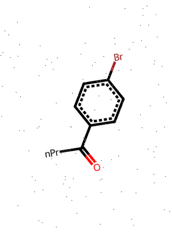 [CH2]CCC(=O)c1ccc(Br)cc1